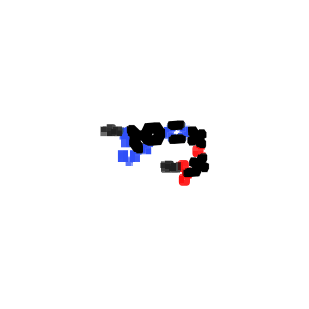 CCCCn1cc2c(n1)c(N)nc1cc(N3CCN(CC(C)(C)COCC(C)(C)CC(=O)OC(C)(C)C)CC3)ccc12